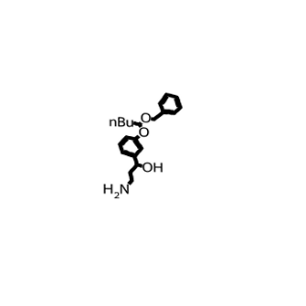 CCCCC(OCc1ccccc1)Oc1cccc(C(O)CCN)c1